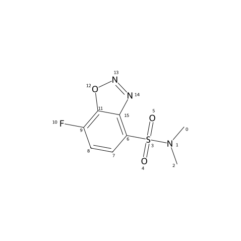 CN(C)S(=O)(=O)c1ccc(F)c2onnc12